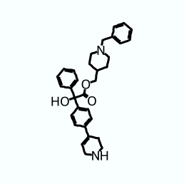 O=C(OCC1CCN(Cc2ccccc2)CC1)C(O)(c1ccccc1)c1ccc(C2=CCNCC2)cc1